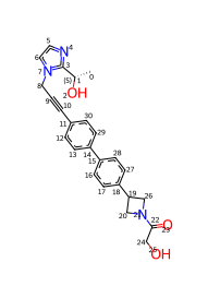 C[C@H](O)c1nccn1CC#Cc1ccc(-c2ccc(C3CN(C(=O)CO)C3)cc2)cc1